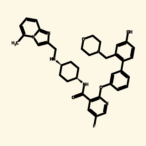 Cc1cccc2nc(CN[C@H]3CC[C@@H](NC(=O)c4cc(F)cnc4Oc4cccc(-c5ccc(O)cc5CN5CCOCC5)c4)CC3)cn12